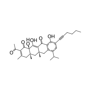 CCCCC#Cc1cc(C(C)C)c2c(c1O)C(=O)C1=C(O)[C@@]3(O)C(=O)C(C(C)=O)=C(C)C[C@@]3(C)C[C@@]1(C)C2